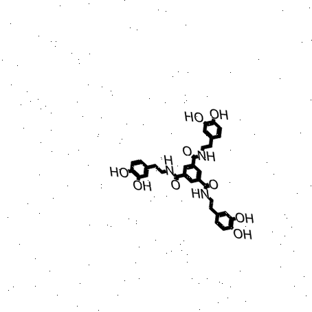 O=C(NCCc1ccc(O)c(O)c1)c1cc(C(=O)NCCc2ccc(O)c(O)c2)cc(C(=O)NCCc2ccc(O)c(O)c2)c1